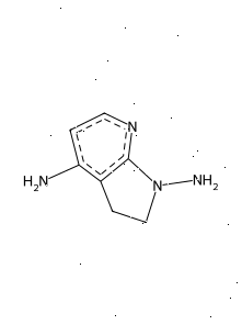 Nc1ccnc2c1CCN2N